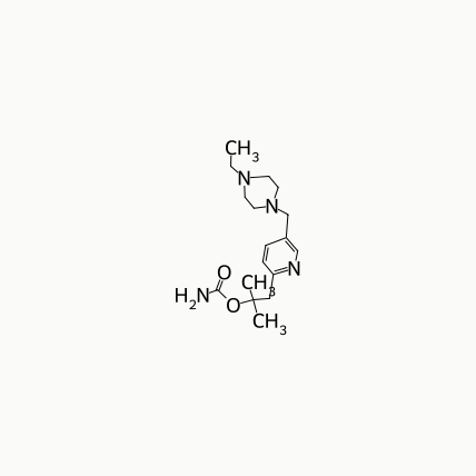 CCN1CCN(Cc2ccc(CC(C)(C)OC(N)=O)nc2)CC1